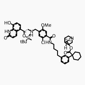 COc1cc(C(=O)NCCCCc2cccc(C3(C(=O)O[C@H]4CN5CCC4CC5)CCCCC3)c2)c(Cl)cc1CNC[C@H](O[Si](C)(C)C(C)(C)C)c1ccc(O)c2[nH]c(=O)ccc12